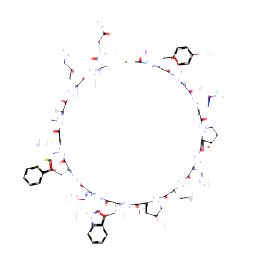 CCCC[C@H]1C(=O)N(C)[C@@H](CCCC)C(=O)N[C@@H](CCCN)C(=O)N[C@H](C(=O)NCC(N)=O)CSCC(=O)N[C@@H](Cc2ccc(O)cc2)C(=O)N(C)[C@@H](C)C(=O)N[C@@H](CC(N)=O)C(=O)N2CCC[C@H]2C(=O)N[C@@H](CN)C(=O)N[C@@H](CC(C)C)C(=O)N2C[C@H](O)C[C@H]2C(=O)N[C@@H](Cc2c[nH]c3ccccc23)C(=O)N[C@@H](CO)C(=O)N[C@@H](Cc2csc3ccccc23)C(=O)N1C